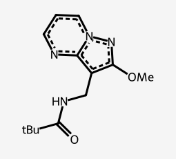 COc1nn2cccnc2c1CNC(=O)C(C)(C)C